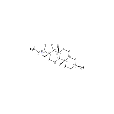 C[C@]12CC[C@H](O)CC1=CC[C@@H]1C2CC[C@]2(C)/C(=N/N)CCC12